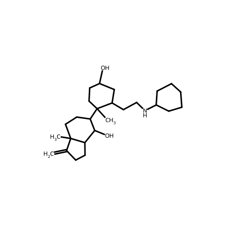 C=C1CCC2C(O)C(C3(C)CCC(O)CC3CCNC3CCCCC3)CCC12C